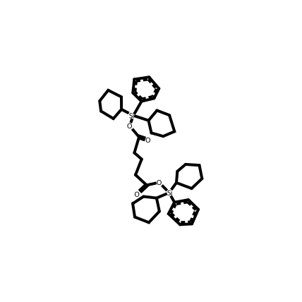 O=C(CCCC(=O)O[Si](c1ccccc1)(C1CCCCC1)C1CCCCC1)O[Si](c1ccccc1)(C1CCCCC1)C1CCCCC1